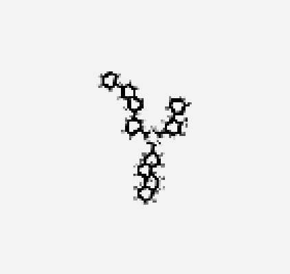 c1ccc(-c2ccc3ccc(-c4cccc(-c5nc(-c6ccc7c(ccc8c9ccccc9ccc78)c6)nc(-c6ccc7sc8ccccc8c7c6)n5)c4)cc3c2)cc1